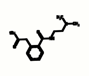 CN(C)CCNC(=O)c1ccccc1CC(=O)C(C)(C)C